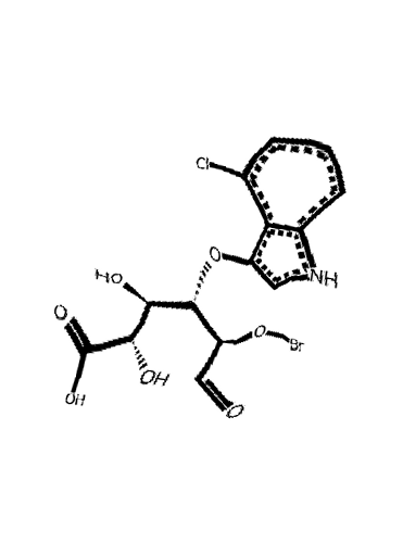 O=C[C@H](OBr)[C@@H](Oc1c[nH]c2cccc(Cl)c12)[C@H](O)[C@H](O)C(=O)O